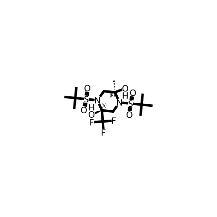 CC(C)(C)S(=O)(=O)N1C[C@@](C)(O)N(S(=O)(=O)C(C)(C)C)C[C@]1(O)C(F)(F)F